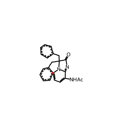 CC(=O)NC1=CC=CN2C1=NC(=O)C2(Cc1ccccc1)Cc1ccccc1